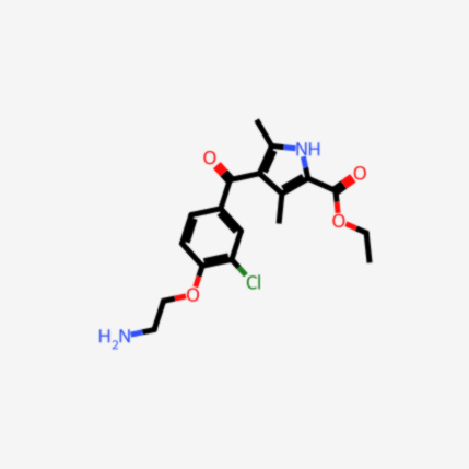 CCOC(=O)c1[nH]c(C)c(C(=O)c2ccc(OCCN)c(Cl)c2)c1C